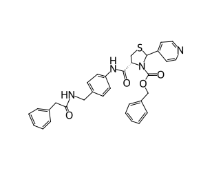 O=C(Cc1ccccc1)NCc1ccc(NC(=O)[C@@H]2CSC(c3ccncc3)N2C(=O)OCc2ccccc2)cc1